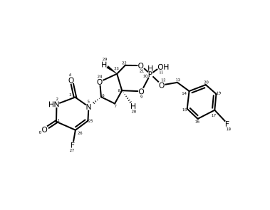 O=c1[nH]c(=O)n([C@H]2C[C@@H]3O[PH](O)(OCc4ccc(F)cc4)OC[C@H]3O2)cc1F